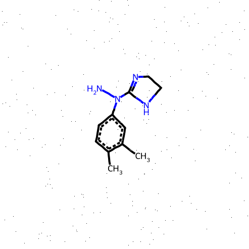 Cc1ccc(N(N)C2=NCCN2)cc1C